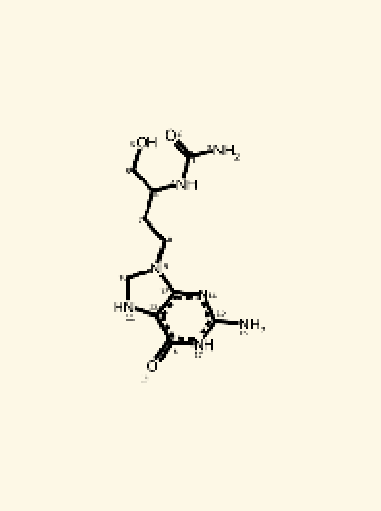 NC(=O)NC(CO)CCN1CNc2c1nc(N)[nH]c2=O